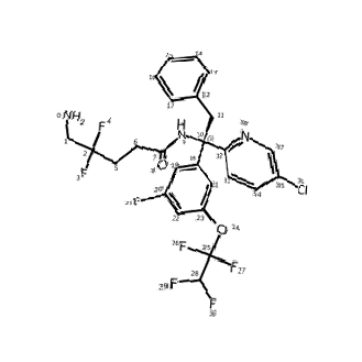 NCC(F)(F)CCC(=O)N[C@@](Cc1ccccc1)(c1cc(F)cc(OC(F)(F)C(F)F)c1)c1ccc(Cl)cn1